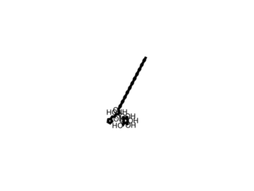 CC#CC#CC#CC#CC#CC#CC#CC#CC#CC#CC#CC(=O)N[C@@H](COC1OC(CO)C(O)C(O)C1O)[C@H](O)[C@H](O)CC1CCCC1